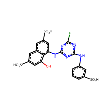 O=S(=O)(O)c1cccc(Nc2nc(F)nc(Nc3cc(S(=O)(=O)O)cc4cc(S(=O)(=O)O)cc(O)c34)n2)c1